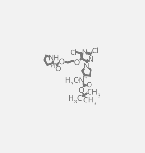 CN(C(=O)OC(C)(C)C)[C@@H]1CCN(c2nc(Cl)nc(Cl)c2OCCOC(=O)[C@@H]2CCCN2)C1